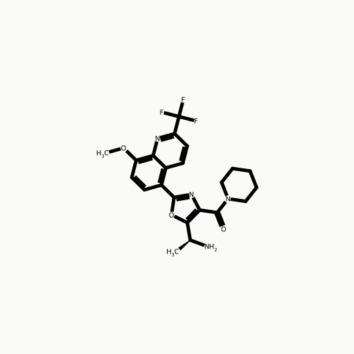 COc1ccc(-c2nc(C(=O)N3CCCCC3)c([C@H](C)N)o2)c2ccc(C(F)(F)F)nc12